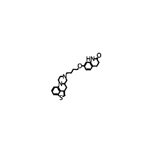 O=C1CCc2ccc(OCCCCN3CCN4c5cccc6scc(c56)CC4C3)cc2N1